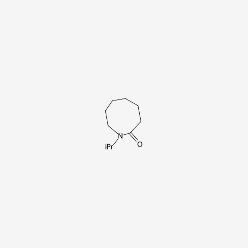 CC(C)N1CCCCCCC1=O